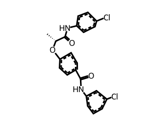 C[C@@H](Oc1ccc(C(=O)Nc2cccc(Cl)c2)cc1)C(=O)Nc1ccc(Cl)cc1